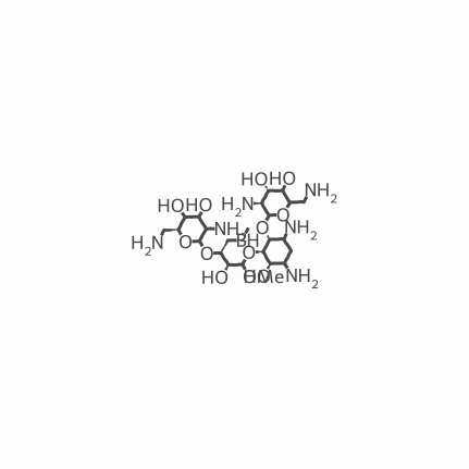 CBC[C@H](OC1O[C@@H](CN)C(O)C(O)C1N)[C@H](O)C(OC)O[C@@H]1[C@H](O)C(N)CC(N)[C@H]1OC1OC(CN)C(O)[C@@H](O)[C@@H]1N